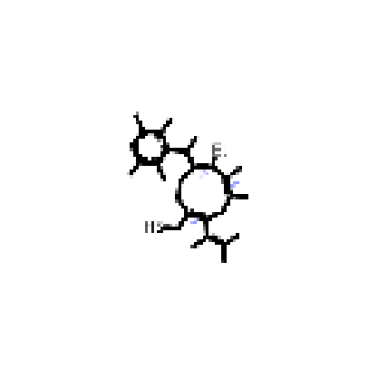 CCC1=C(\C(C)c2c(C)c(C)cc(C)c2C)CC/C(CS)=C(/C(C)=C(C)C)C/C(C)=C\1C